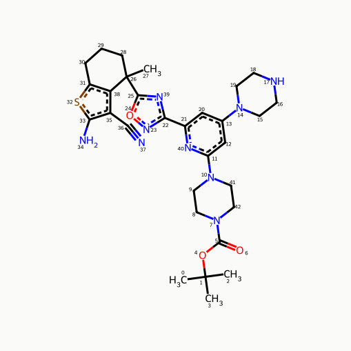 CC(C)(C)OC(=O)N1CCN(c2cc(N3CCNCC3)cc(-c3noc(C4(C)CCCc5sc(N)c(C#N)c54)n3)n2)CC1